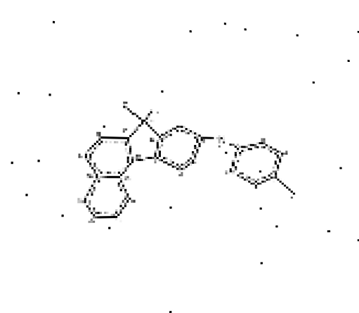 Cc1ccc(Nc2ccc3c(c2)C(C)(C)c2ccc4ccccc4c2-3)cc1